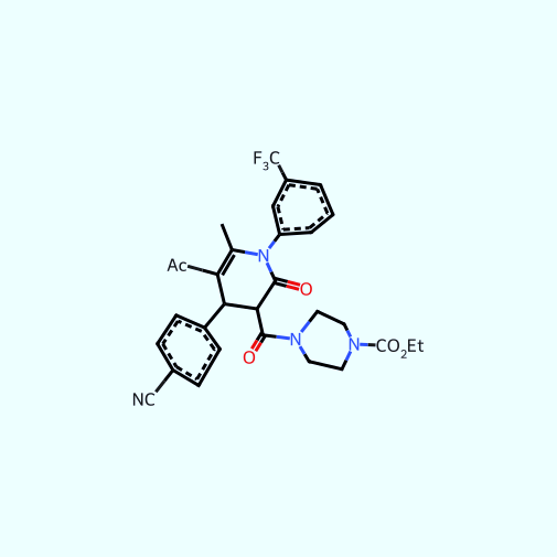 CCOC(=O)N1CCN(C(=O)C2C(=O)N(c3cccc(C(F)(F)F)c3)C(C)=C(C(C)=O)C2c2ccc(C#N)cc2)CC1